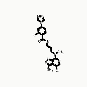 CN(C/C=C/NC(=O)c1ccc(-n2cnnc2)cc1Cl)c1ncc(Cl)c2c(N)noc12